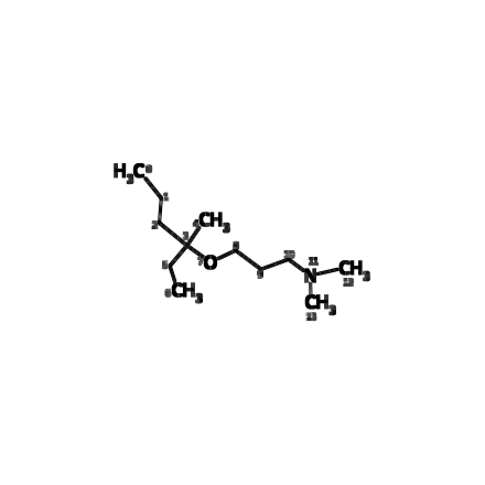 CCCC(C)(CC)OCCCN(C)C